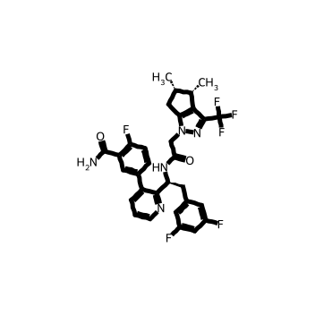 C[C@@H]1c2c(C(F)(F)F)nn(CC(=O)N[C@@H](Cc3cc(F)cc(F)c3)c3ncccc3-c3ccc(F)c(C(N)=O)c3)c2C[C@@H]1C